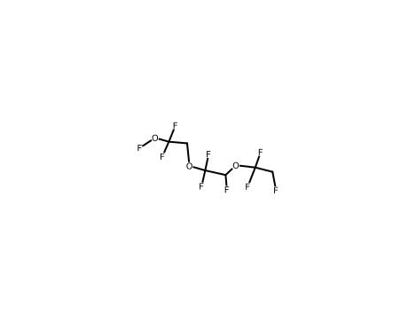 FCC(F)(F)OC(F)C(F)(F)OCC(F)(F)OF